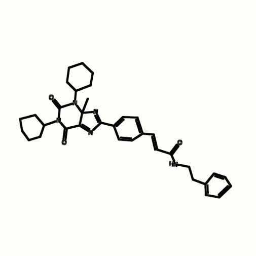 CC12N=C(c3ccc(/C=C/C(=O)NCCc4ccccc4)cc3)N=C1C(=O)N(C1CCCCC1)C(=O)N2C1CCCCC1